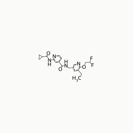 CCc1cc(CNC(=O)c2ccnc(NC(=O)C3CC3)c2)cnc1OCC(F)F